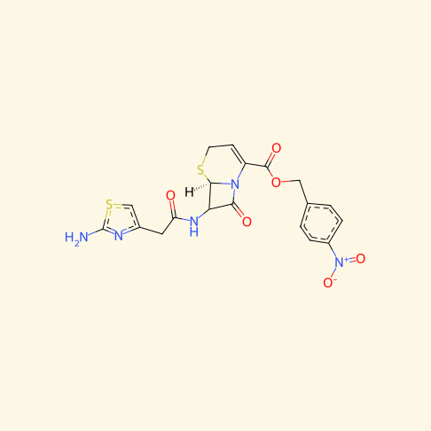 Nc1nc(CC(=O)NC2C(=O)N3C(C(=O)OCc4ccc([N+](=O)[O-])cc4)=CCS[C@H]23)cs1